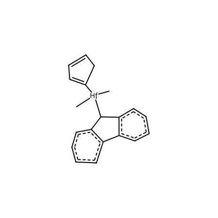 [CH3][Hf]([CH3])([C]1=CC=CC1)[CH]1c2ccccc2-c2ccccc21